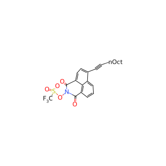 CCCCCCCCC#Cc1ccc2c3c(cccc13)C(=O)N(OS(=O)(=O)C(F)(F)F)C2=O